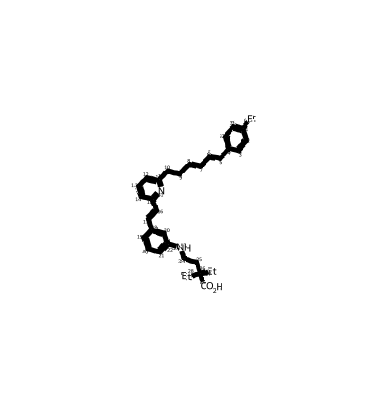 CCc1ccc(CCCCCCc2cccc(C=Cc3cccc(NCCC(CC)(CC)C(=O)O)c3)n2)cc1